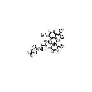 CC(C)(C)OC(=O)NCCCOc1cccc(C(=O)[O-])c1Cn1ncccc1=O.[Li+]